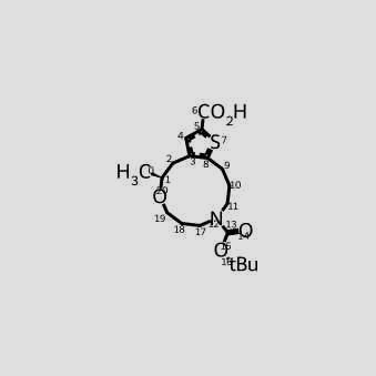 C[C@H]1Cc2cc(C(=O)O)sc2CCCN(C(=O)OC(C)(C)C)CCCO1